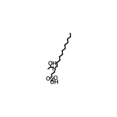 CCCCCCCCCCCCN(CCS(=O)(=O)O)C(C)O